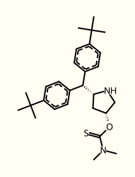 CN(C)C(=S)O[C@H]1CN[C@@H](C(c2ccc(C(C)(C)C)cc2)c2ccc(C(C)(C)C)cc2)C1